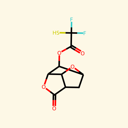 O=C1OC2C(OC(=O)C(F)(F)S)C3CC1C2O3